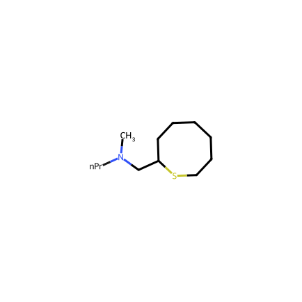 CCCN(C)CC1CCCCCCS1